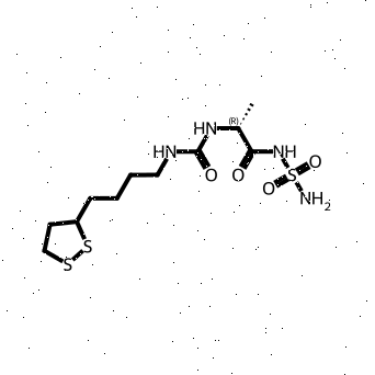 C[C@@H](NC(=O)NCCCCC1CCSS1)C(=O)NS(N)(=O)=O